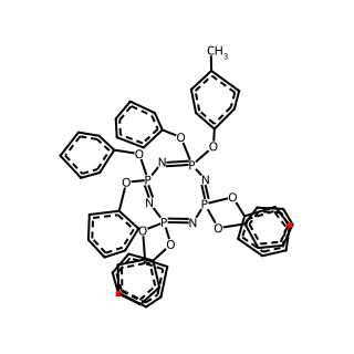 Cc1ccc(OP2(Oc3ccccc3)=NP(Oc3ccccc3)(Oc3ccccc3)=NP(Oc3ccccc3)(Oc3ccccc3)=NP(Oc3ccccc3)(Oc3ccccc3)=N2)cc1